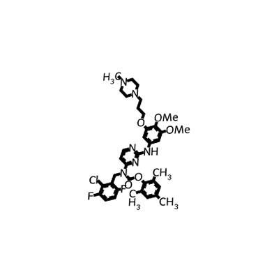 COc1cc(Nc2nccc(N(Cc3c(F)ccc(F)c3Cl)C(=O)Oc3c(C)cc(C)cc3C)n2)cc(OCCCN2CCN(C)CC2)c1OC